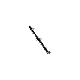 CCC/N=C/[S+]([O-])CCSCSCSCCSC(=O)NCCSCSCSCC/N=C/OOCCCO